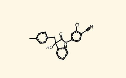 Cc1ccc(CC(O)(C(=O)Nc2ccc(C#N)c(Cl)c2)c2ccccc2)cc1